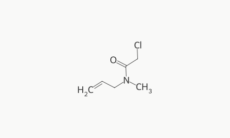 C=CCN(C)C(=O)CCl